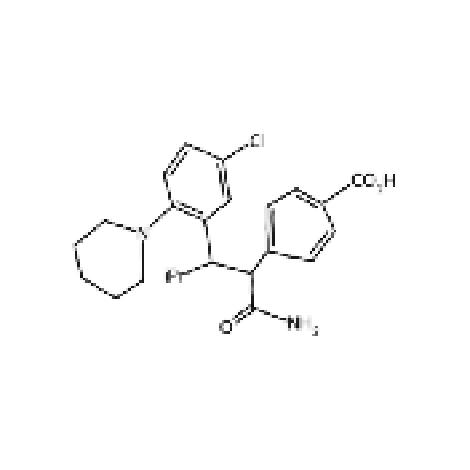 CC(C)C(c1cc(Cl)ccc1N1CCCCC1)C(C(N)=O)c1ccc(C(=O)O)cc1